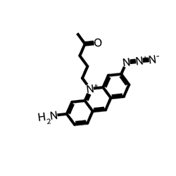 CC(=O)CCC[n+]1c2cc(N)ccc2cc2ccc(N=[N+]=[N-])cc21